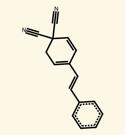 N#CC1(C#N)C=CC(C=Cc2ccccc2)=CC1